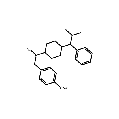 COc1ccc(CN(C(C)=O)C2CCC(C(c3ccccc3)N(C)C)CC2)cc1